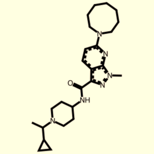 CC(C1CC1)N1CCC(NC(=O)c2nn(C)c3nc(N4CCCCCCC4)ccc23)CC1